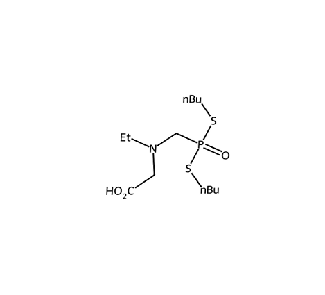 CCCCSP(=O)(CN(CC)CC(=O)O)SCCCC